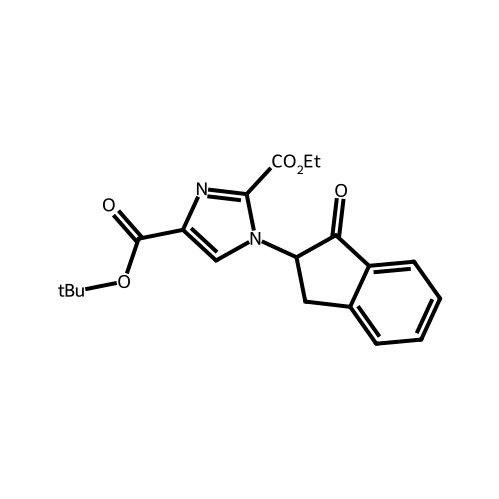 CCOC(=O)c1nc(C(=O)OC(C)(C)C)cn1C1Cc2ccccc2C1=O